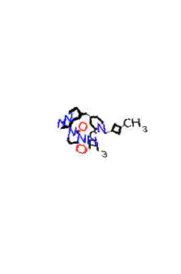 C[C@H]1C[C@H](Cc2ccn3ncc(N4CCC(=O)NC4=O)c3c2)CCN1C[C@H]1C[C@@H](C)C1